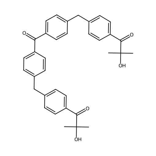 CC(C)(O)C(=O)c1ccc(Cc2ccc(C(=O)c3ccc(Cc4ccc(C(=O)C(C)(C)O)cc4)cc3)cc2)cc1